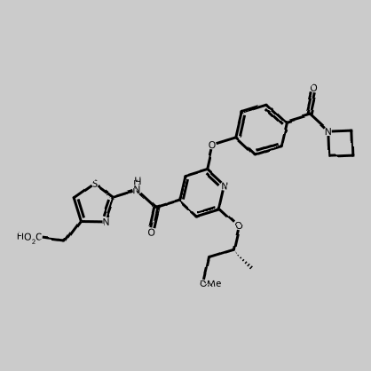 COC[C@@H](C)Oc1cc(C(=O)Nc2nc(CC(=O)O)cs2)cc(Oc2ccc(C(=O)N3CCC3)cc2)n1